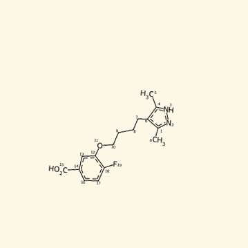 Cc1n[nH]c(C)c1CCCCOc1cc(C(=O)O)ccc1F